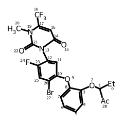 CCC(Oc1ccccc1Oc1cc(-n2c(=O)cc(C(F)(F)F)n(C)c2=O)c(F)cc1Br)C(C)=O